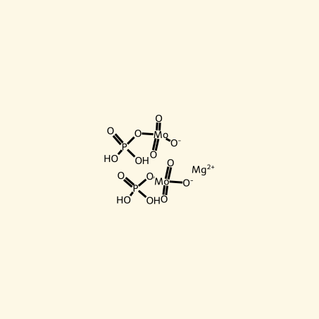 O=P(O)(O)[O][Mo](=[O])(=[O])[O-].O=P(O)(O)[O][Mo](=[O])(=[O])[O-].[Mg+2]